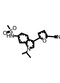 CC(C)n1cc(-c2ccc(C#N)o2)c2ccc(NS(C)(=O)=O)cc21